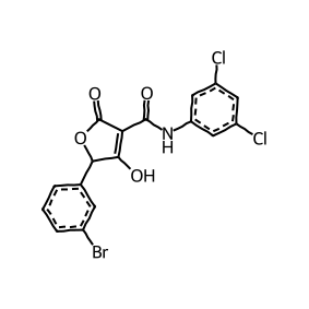 O=C(Nc1cc(Cl)cc(Cl)c1)C1=C(O)C(c2cccc(Br)c2)OC1=O